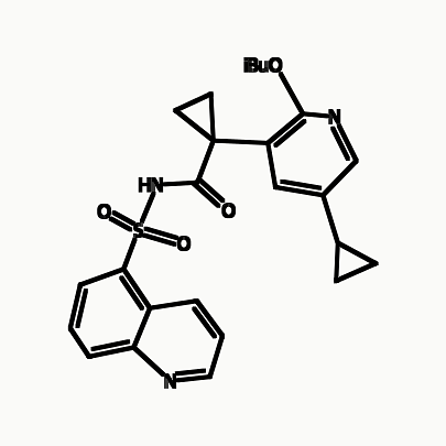 CC(C)COc1ncc(C2CC2)cc1C1(C(=O)NS(=O)(=O)c2cccc3ncccc23)CC1